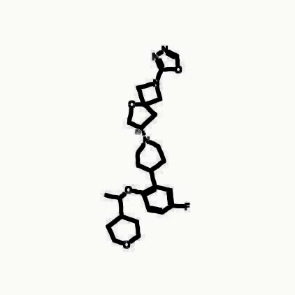 CC(Oc1ccc(F)cc1C1CCN([C@@H]2COC3(C2)CN(c2nnco2)C3)CC1)C1CCOCC1